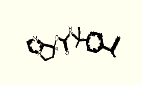 C=C(C)c1ccc(C(C)(C)NC(=O)O[C@H]2CCn3ccnc32)cc1